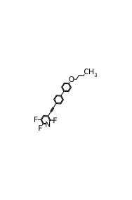 CCCCOc1ccc(-c2ccc(C#Cc3cc(F)c(F)nc3F)cc2)cc1